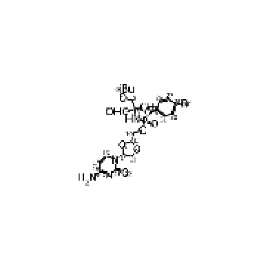 CC[C@@H](C)OC[C@@](C)(C=O)NP(=O)(OC[C@H]1OC[C@@H](n2ccc(N)nc2=O)O1)Oc1ccc(Br)cc1